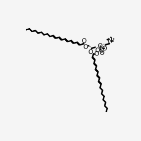 CCCCCCCCCC=CC=CC=CC=CC=CC(=O)OC[C@H](COP(=O)([O-])OCC[N+](C)(C)C)OC(=O)C=CC=CC=CC=CC=CCCCCCCCCC